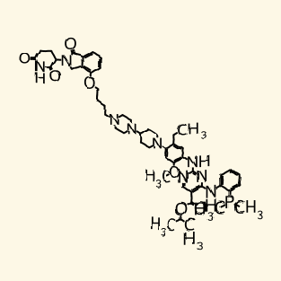 CCc1cc(Nc2ncc(C(=O)OC(C)C)c(Nc3ccccc3P(C)C)n2)c(OC)cc1N1CCC(N2CCN(CCCCOc3cccc4c3CN(C3CCC(=O)NC3=O)C4=O)CC2)CC1